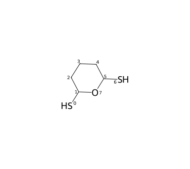 SC1CCCC(S)O1